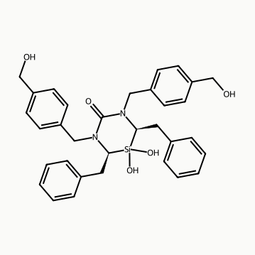 O=C1N(Cc2ccc(CO)cc2)[C@@H](Cc2ccccc2)[Si](O)(O)[C@@H](Cc2ccccc2)N1Cc1ccc(CO)cc1